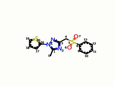 Cc1nc(CS(=O)(=O)c2ccccc2)nn1-c1cccs1